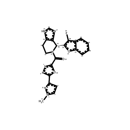 Cn1ccc(-c2nnc(C(=O)N3CCc4[nH]cnc4[C@@H]3c3oc4ccccc4c3F)o2)n1